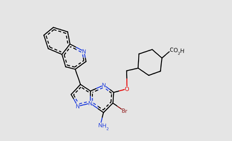 Nc1c(Br)c(OCC2CCC(C(=O)O)CC2)nc2c(-c3cnc4ccccc4c3)cnn12